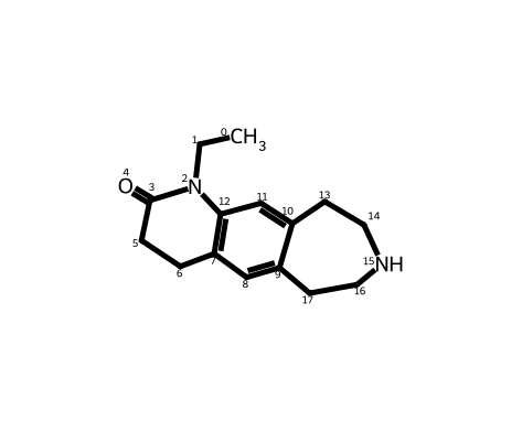 CCN1C(=O)CCc2cc3c(cc21)CCNCC3